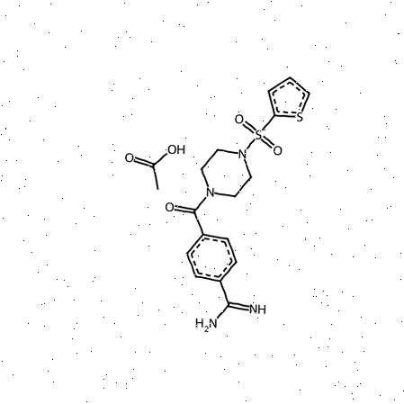 CC(=O)O.N=C(N)c1ccc(C(=O)N2CCN(S(=O)(=O)c3cccs3)CC2)cc1